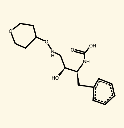 O=C(O)N[C@@H](Cc1ccccc1)[C@@H](O)CNOC1CCOCC1